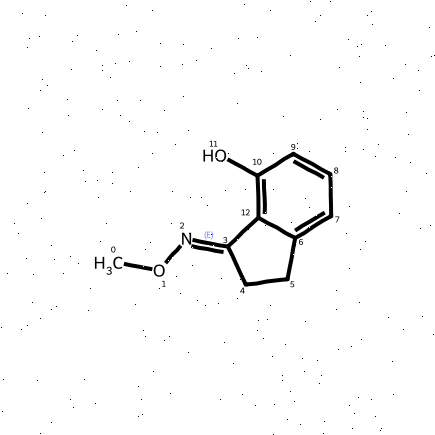 CO/N=C1\CCc2cccc(O)c21